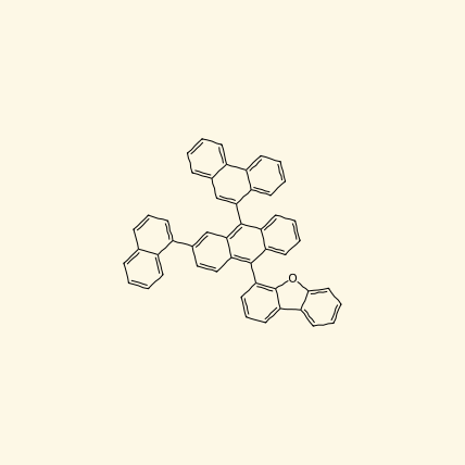 c1ccc2c(-c3ccc4c(-c5cccc6c5oc5ccccc56)c5ccccc5c(-c5cc6ccccc6c6ccccc56)c4c3)cccc2c1